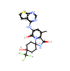 Cc1cc(Nc2ncnc3sccc23)c(=O)n2c1C(=O)NC21CCC(O)(C(F)(F)F)CC1